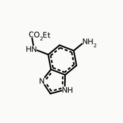 CCOC(=O)Nc1cc(N)cc2[nH]cnc12